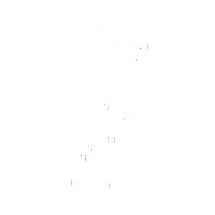 CC(C)c1cc(NC2CCN(c3ccc(-c4n[nH]c(=O)c5ccccc45)cc3)C2=O)n(C)n1